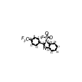 O=S(=O)(F)n1c(-c2ccc(C(F)(F)F)cc2)nc2ccccc21